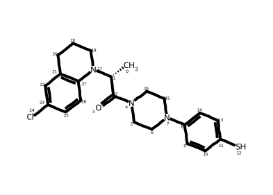 C[C@H](C(=O)N1CCN(c2ccc(S)cc2)CC1)N1CCCc2cc(Cl)ccc21